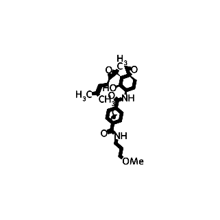 COCCCNC(=O)C12CCC(C(=O)N[C@@H]3CC[C@]4(CO4)[C@@H](C4(C)O[C@@H]4CC=C(C)C)[C@@H]3O)(CC1)CC2